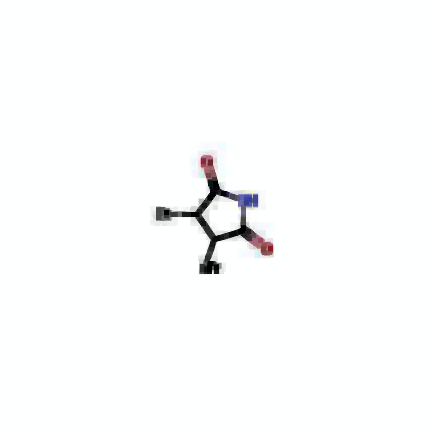 CCCC1C(=O)NC(=O)C1CC